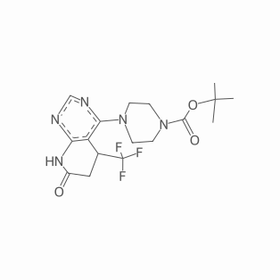 CC(C)(C)OC(=O)N1CCN(c2ncnc3c2C(C(F)(F)F)CC(=O)N3)CC1